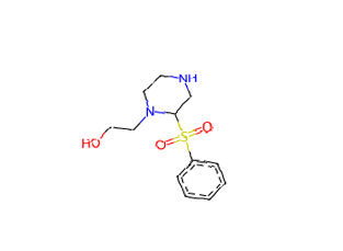 O=S(=O)(c1ccccc1)C1CNCCN1CCO